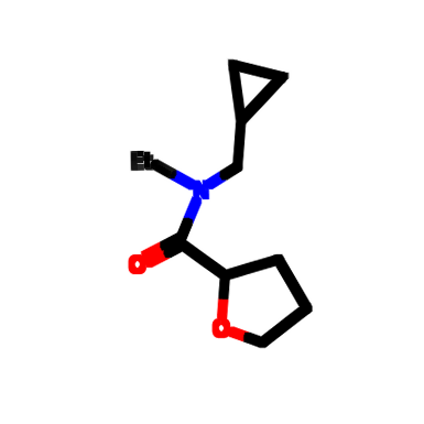 CCN(CC1CC1)C(=O)C1CCCO1